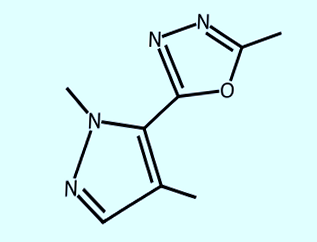 Cc1nnc(-c2c(C)cnn2C)o1